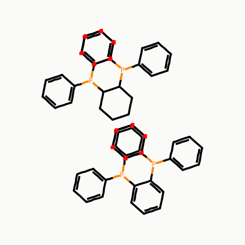 c1ccc(P(c2ccccc2)C2CCCCC2P(c2ccccc2)c2ccccc2)cc1.c1ccc(P(c2ccccc2)c2ccccc2P(c2ccccc2)c2ccccc2)cc1